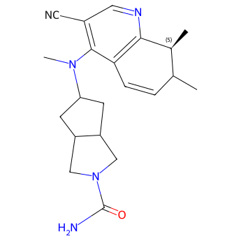 CC1C=Cc2c(ncc(C#N)c2N(C)C2CC3CN(C(N)=O)CC3C2)[C@H]1C